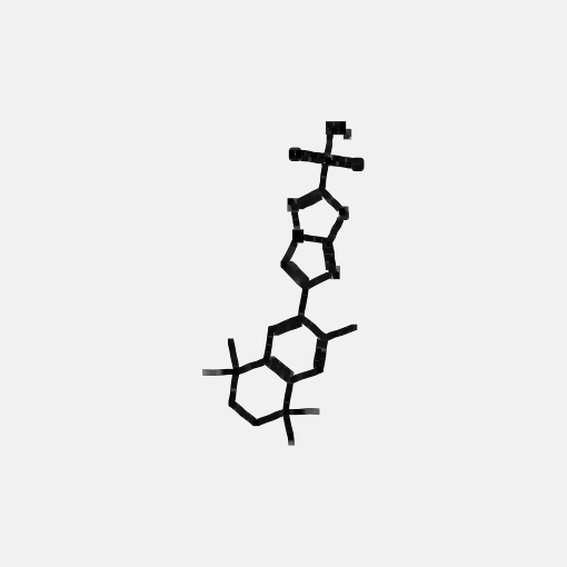 Cc1cc2c(cc1-c1cn3nc(S(N)(=O)=O)sc3n1)C(C)(C)CCC2(C)C